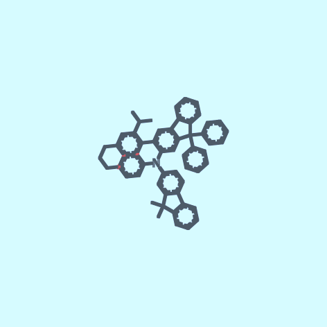 CC(C)c1cc2c(cc1-c1cc3c(cc1N(c1ccccc1)c1ccc4c(c1)C(C)(C)c1ccccc1-4)C(c1ccccc1)(c1ccccc1)c1ccccc1-3)CCCC2